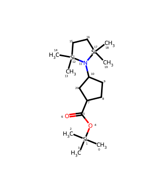 C[Si](C)(C)OC(=O)C1CCC(N2[Si](C)(C)CC[Si]2(C)C)C1